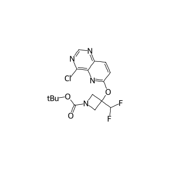 CC(C)(C)OC(=O)N1CC(Oc2ccc3ncnc(Cl)c3n2)(C(F)F)C1